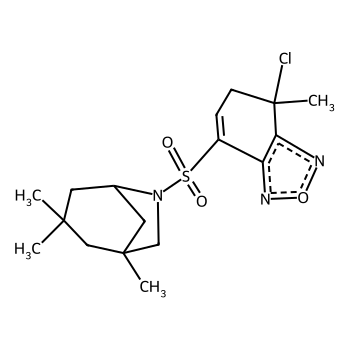 CC1(C)CC2CC(C)(CN2S(=O)(=O)C2=CCC(C)(Cl)c3nonc32)C1